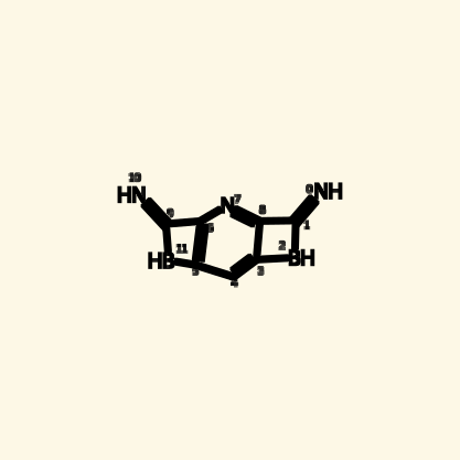 N=C1Bc2cc3c(nc21)C(=N)B3